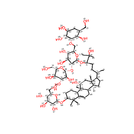 C[C@H](CC[C@@H](O[C@@H]1O[C@H](CO[C@H]2[C@H](O)[C@H](CO)C[C@H](O)[C@H]2O)[C@@H](O)[C@H](O)[C@H]1O[C@H]1O[C@@H](CO)[C@H](O)[C@@H](O)[C@@H]1O)C(C)(C)O)C1CC[C@@]2(C)C3CC=C4C(CC[C@H](O[C@@H]5O[C@H](CO)[C@@H](O)[C@H](O)[C@H]5O)C4(C)C)[C@]3(C)[C@H](O)C[C@]12C